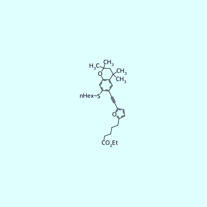 CCCCCCSc1cc2c(cc1C#Cc1ccc(CCCCC(=O)OCC)o1)C(C)(C)CC(C)(C)O2